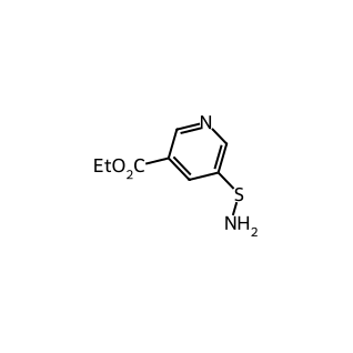 CCOC(=O)c1cncc(SN)c1